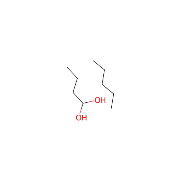 CCCC(O)O.CCCCC